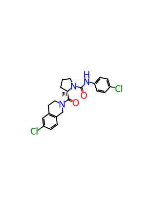 O=C([C@H]1CCCN1C(=O)Nc1ccc(Cl)cc1)N1CCc2cc(Cl)ccc2C1